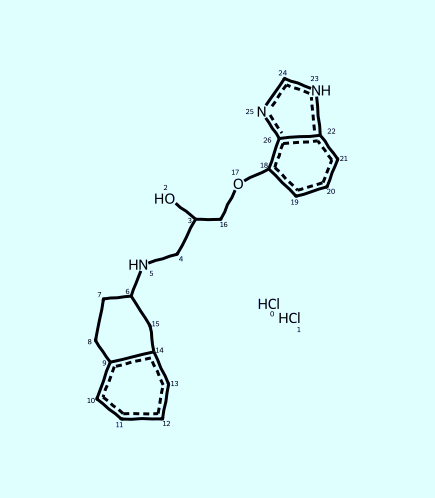 Cl.Cl.OC(CNC1CCc2ccccc2C1)COc1cccc2[nH]cnc12